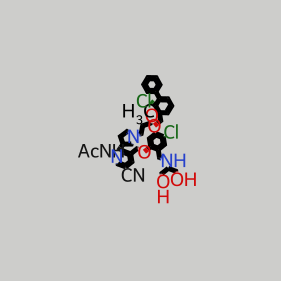 CC(=O)NC1CCN(CCCOC2(COc3cc(OCc4cncc(C#N)c4)c(CNC(CO)CO)cc3Cl)C=CC=C(c3ccccc3)C2(C)Cl)C1